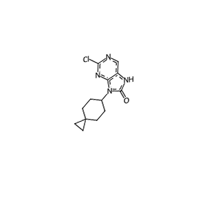 O=c1[nH]c2cnc(Cl)nc2n1C1CCC2(CC1)CC2